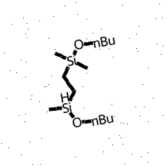 CCCCO[SiH](C)CC[Si](C)(C)OCCCC